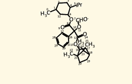 CC1CCC(C(C)C)C(OC(=O)C(O[C]=O)(C(=O)OC2CC3CCC2(C)C3(C)C)c2ccccc2)C1